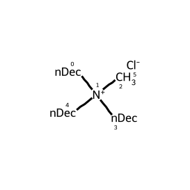 CCCCCCCCCC[N+](C)(CCCCCCCCCC)CCCCCCCCCC.[Cl-]